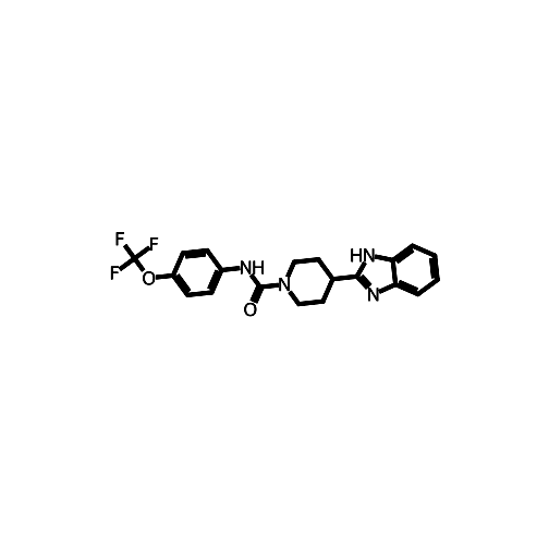 O=C(Nc1ccc(OC(F)(F)F)cc1)N1CCC(c2nc3ccccc3[nH]2)CC1